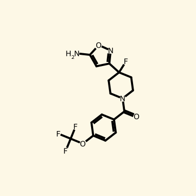 Nc1cc(C2(F)CCN(C(=O)c3ccc(OC(F)(F)F)cc3)CC2)no1